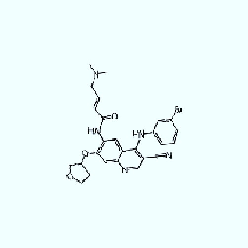 CN(C)C/C=C/C(=O)Nc1cc2c(Nc3cccc(Br)c3)c(C#N)cnc2cc1OC1CCOC1